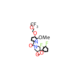 COc1nc(C(=O)N2CCC3(c4cccc(F)c4F)OCOC3C2)ccc1OCCOC(F)(F)F